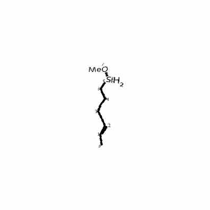 CC=CCCC[SiH2]OC